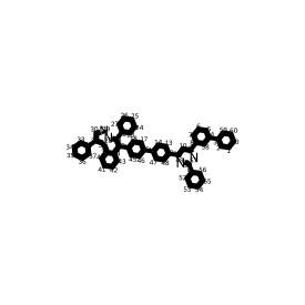 c1ccc(-c2cccc(-c3cc(-c4ccc(-c5ccc(-c6c(-c7ccccc7)n7ncc(-c8ccccc8)c7c7ccccc67)cc5)cc4)nc(-c4ccccc4)n3)c2)cc1